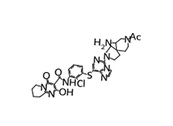 CC(=O)N1CCC2(CCN(c3ncc(Sc4cccc(NC(=O)c5c(O)nc6n(c5=O)CCCC6)c4Cl)c4nccn34)CC2)C(N)C1